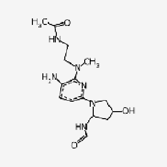 CC(=O)NCCN(C)c1nc(N2CC(O)CC2NC=O)ccc1N